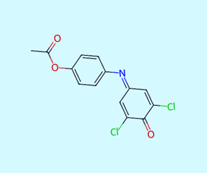 CC(=O)Oc1ccc(N=C2C=C(Cl)C(=O)C(Cl)=C2)cc1